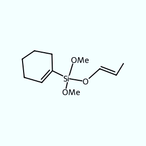 CC=CO[Si](OC)(OC)C1=CCCCC1